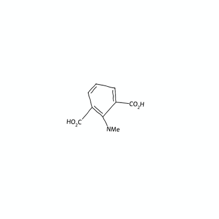 CNc1c(C(=O)O)cccc1C(=O)O